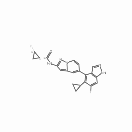 O=C(Nc1cc2cc(-c3c(C4CC4)c(F)cc4[nH]ncc34)ccn2n1)[C@@H]1C[C@@H]1F